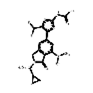 CC(=O)Nc1nc(C(F)F)c(-c2cc3c(c([S+](C)[O-])c2)C(=O)N([C@@H](C)C2CC2)C3)s1